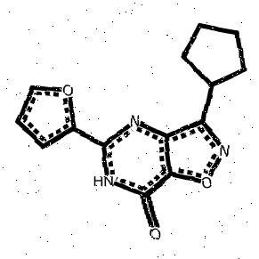 O=c1[nH]c(-c2ccco2)nc2c(C3CCCC3)noc12